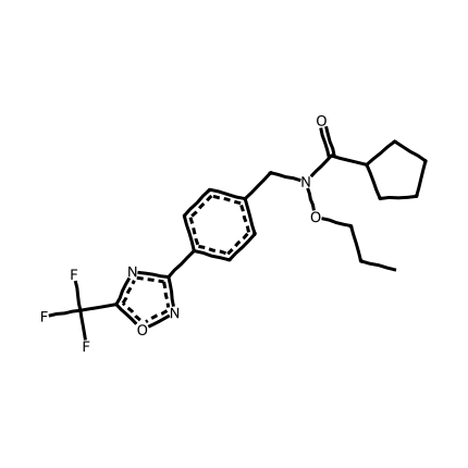 CCCON(Cc1ccc(-c2noc(C(F)(F)F)n2)cc1)C(=O)C1CCCC1